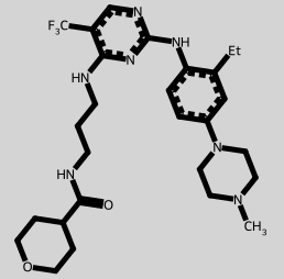 CCc1cc(N2CCN(C)CC2)ccc1Nc1ncc(C(F)(F)F)c(NCCCNC(=O)C2CCOCC2)n1